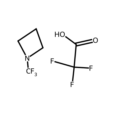 FC(F)(F)N1CCC1.O=C(O)C(F)(F)F